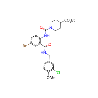 CCOC(=O)C1CCN(C(=O)Nc2ccc(Br)cc2C(=O)NCc2ccc(OC)c(Cl)c2)CC1